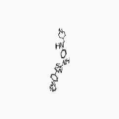 CN1CCC(CNc2ccc(Nc3nc(-c4ccc(-n5ccnc5)cc4)cs3)cc2)CC1